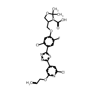 C=CCOc1cc(-c2nnc(-c3cc(F)c(OCC4COC(C)(C)N4C(=O)O)cc3Cl)s2)cc(Cl)n1